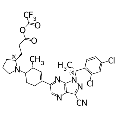 CC1C=C(c2cnc3c(C#N)nn([C@H](C)c4ccc(Cl)cc4Cl)c3n2)CCC1N1CCC[C@H]1CCC(=O)OC(=O)C(F)(F)F